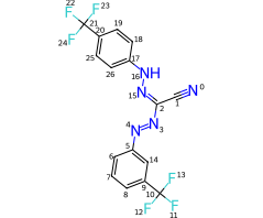 N#CC(N=Nc1cccc(C(F)(F)F)c1)=NNc1ccc(C(F)(F)F)cc1